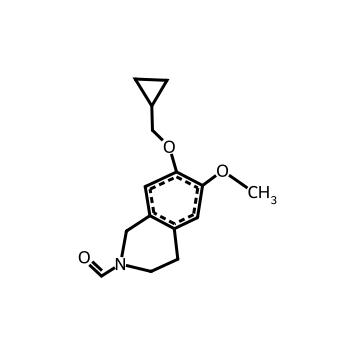 COc1cc2c(cc1OCC1CC1)CN(C=O)CC2